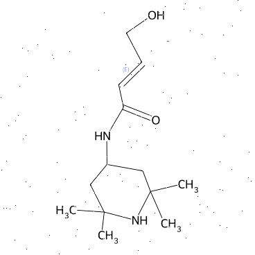 CC1(C)CC(NC(=O)/C=C/CO)CC(C)(C)N1